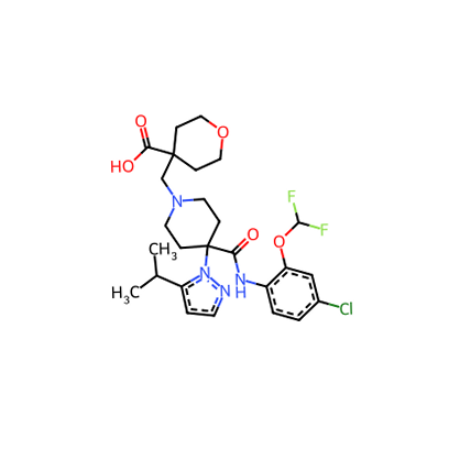 CC(C)c1ccnn1C1(C(=O)Nc2ccc(Cl)cc2OC(F)F)CCN(CC2(C(=O)O)CCOCC2)CC1